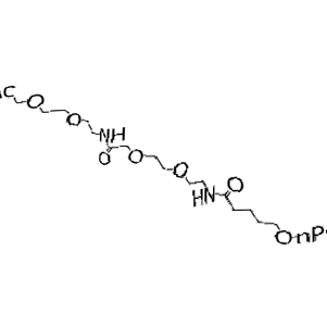 CCCOCCCCC(=O)NCCOCCOCC(=O)NCCOCCOCC(C)=O